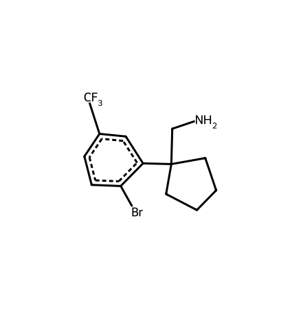 NCC1(c2cc(C(F)(F)F)ccc2Br)CCCC1